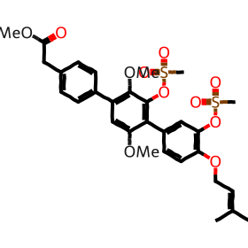 COC(=O)Cc1ccc(-c2cc(OC)c(-c3ccc(OCC=C(C)C)c(OS(C)(=O)=O)c3)c(OS(C)(=O)=O)c2OC)cc1